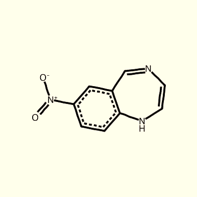 O=[N+]([O-])c1ccc2c(c1)C=NC=CN2